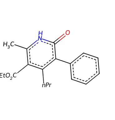 CCCc1c(C(=O)OCC)c(C)[nH]c(=O)c1-c1ccccc1